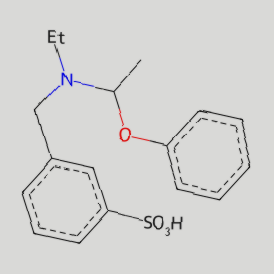 CCN(Cc1cccc(S(=O)(=O)O)c1)C(C)Oc1ccccc1